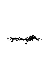 CC(C)CCC[C@@H](C)[C@H]1CC[C@H]2C3CC=C4C[C@@H](OC(=O)NCCCOCCOCCOCCOC(CO)CO)CC[C@]4(C)[C@H]3CC[C@]12C